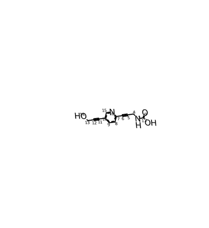 O=C(O)NCC#Cc1ccc(C#CCO)cn1